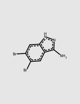 Nc1n[nH]c2cc(Br)c(Br)cc12